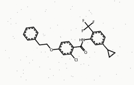 O=C(Nc1cc(C2CC2)ccc1C(F)(F)F)c1ccc(OCCc2ccccc2)cc1Cl